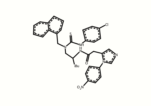 CCC(C)C(CN(Cc1cccc2ccccc12)C(=S)Nc1ccc(Cl)cc1)NC(=O)Cc1cncn1-c1ccc([N+](=O)[O-])cc1